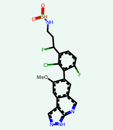 COc1cc2c(cnc3[nH]ncc32)cc1-c1c(F)ccc(C(F)CCN[SH](=O)=O)c1Cl